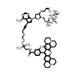 C=CCOC1C[C@H](n2cc(C#CCOCSSC(C)(C)CNC(=O)c3ccc(C4=c5cc6c7c(c5Oc5c4cc4c8c5CCCN8CCC4)CCC[N+]=7CCC6)c(C(=O)O)c3)c3c(N)ncnc32)O[C@@H]1COP(=O)(O)OP(=O)(O)OP(=O)(O)O